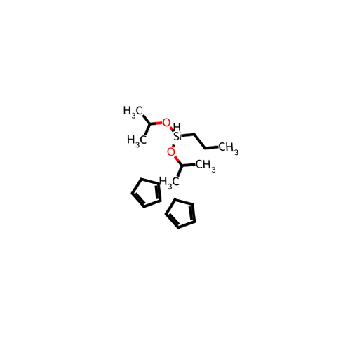 C1=CCC=C1.C1=CCC=C1.CCC[SiH](OC(C)C)OC(C)C